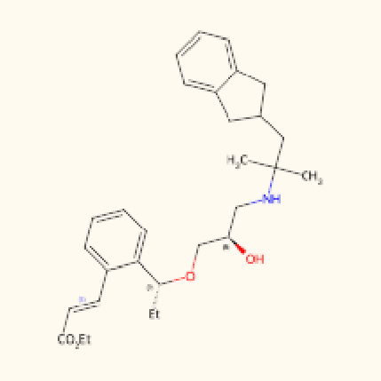 CCOC(=O)/C=C/c1ccccc1[C@@H](CC)OC[C@H](O)CNC(C)(C)CC1Cc2ccccc2C1